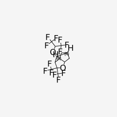 FC(F)(F)C(OC1C2[C@H]3C[C@@H]1CC3OC2(C(F)(F)F)C(F)(F)F)C(F)(F)F